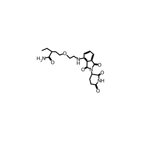 CCC(CCOCCNc1cccc2c1C(=O)N(C1CCC(=O)NC1=O)C2=O)C(N)=O